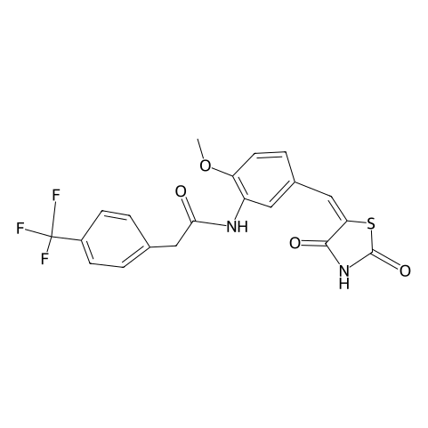 COc1ccc(C=C2SC(=O)NC2=O)cc1NC(=O)Cc1ccc(C(F)(F)F)cc1